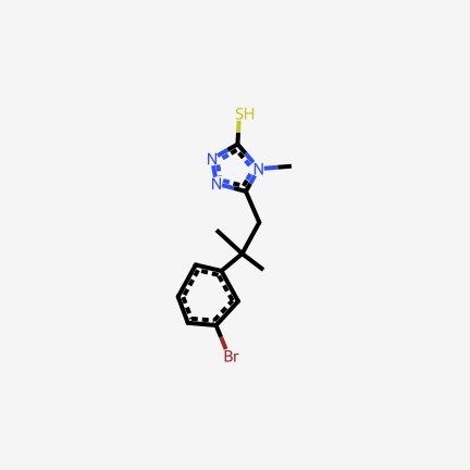 Cn1c(S)nnc1CC(C)(C)c1cccc(Br)c1